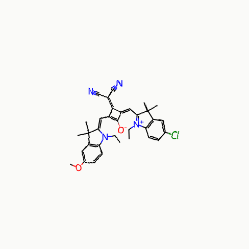 CCN1/C(=C\C2=C([O-])C(=C\C3=[N+](CC)c4ccc(Cl)cc4C3(C)C)/C2=C(C#N)C#N)C(C)(C)c2cc(OC)ccc21